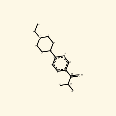 CCN1CCC(c2ccc(C(=O)C(C)C)cn2)CC1